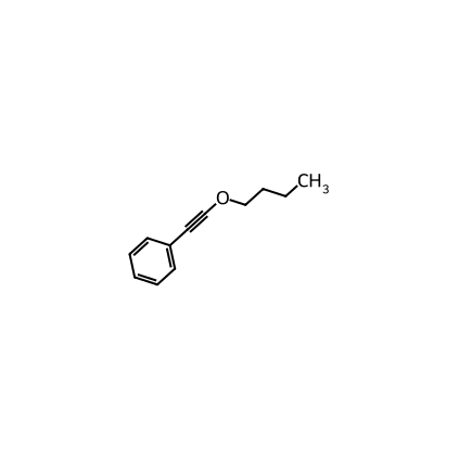 CCCCOC#Cc1ccccc1